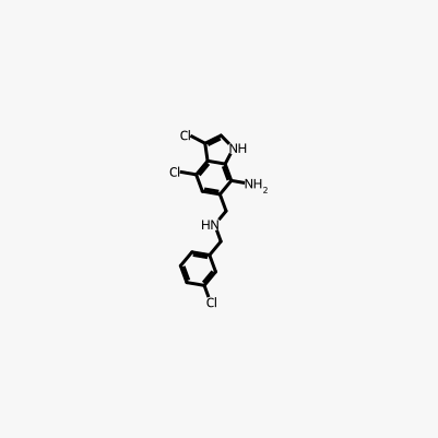 Nc1c(CNCc2cccc(Cl)c2)cc(Cl)c2c(Cl)c[nH]c12